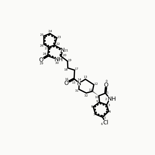 O=C1Nc2cc(Cl)ccc2[C@@H]1C1CCN(C(=O)CCCc2nc3ccccc3c(=O)[nH]2)CC1